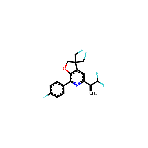 C=C(c1cc2c(c(-c3ccc(F)cc3)n1)OCC2(CF)CF)C(F)F